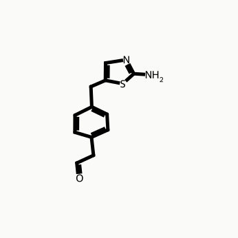 Nc1ncc(Cc2ccc(CC=O)cc2)s1